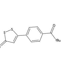 CC(C)(C)C(=O)c1ccc(-c2cc(=S)ss2)cc1